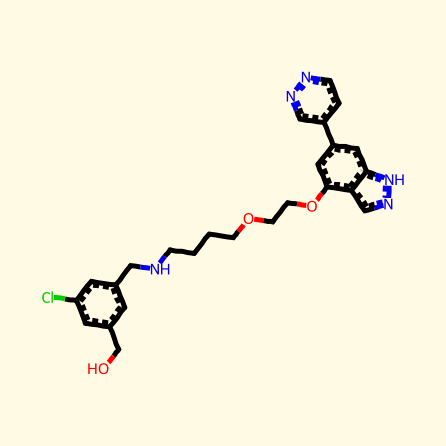 OCc1cc(Cl)cc(CNCCCCOCCOc2cc(-c3ccnnc3)cc3[nH]ncc23)c1